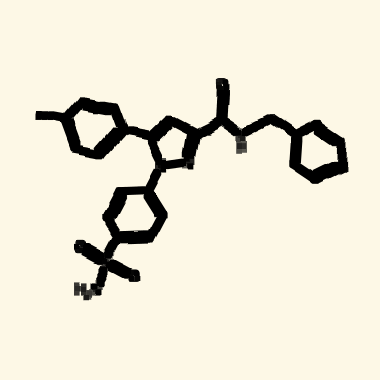 Cc1ccc(-c2cc(C(=O)NCc3ccccc3)nn2-c2ccc(S(N)(=O)=O)cc2)cc1